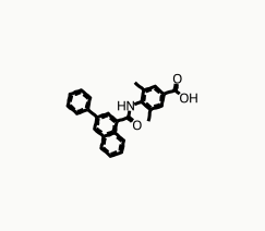 Cc1cc(C(=O)O)cc(C)c1NC(=O)c1cc(-c2ccccc2)cc2ccccc12